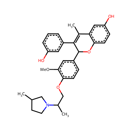 COc1cc(C2Oc3ccc(O)cc3C(C)=C2c2cccc(O)c2)ccc1OCC(C)N1CCC(C)C1